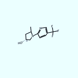 CC1C[C@@H](O)CN1c1ccc(C(F)(F)F)cn1